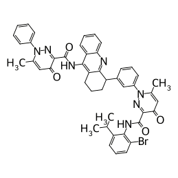 Cc1cc(=O)c(C(=O)Nc2c(Br)cccc2C(C)C)nn1-c1cccc(C2CCCc3c2nc2ccccc2c3NC(=O)c2nn(-c3ccccc3)c(C)cc2=O)c1